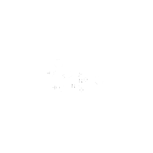 Cc1ccccc1-c1cc2c(s1)C(C(=O)O)N1C[C@H]2N(OCc2ccccc2)C1=O